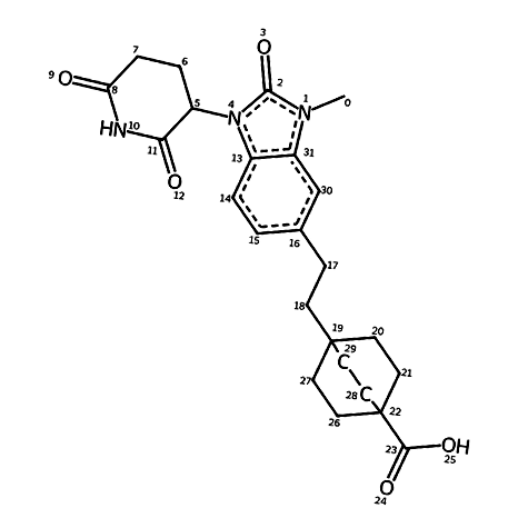 Cn1c(=O)n(C2CCC(=O)NC2=O)c2ccc(CCC34CCC(C(=O)O)(CC3)CC4)cc21